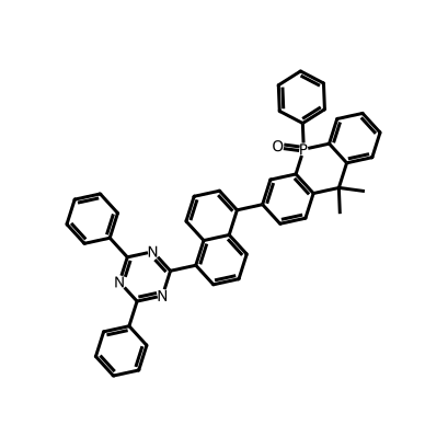 CC1(C)c2ccccc2P(=O)(c2ccccc2)c2cc(-c3cccc4c(-c5nc(-c6ccccc6)nc(-c6ccccc6)n5)cccc34)ccc21